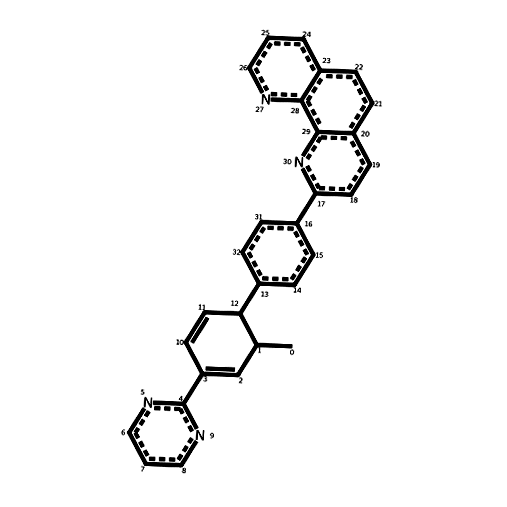 CC1C=C(c2ncccn2)C=CC1c1ccc(-c2ccc3ccc4cccnc4c3n2)cc1